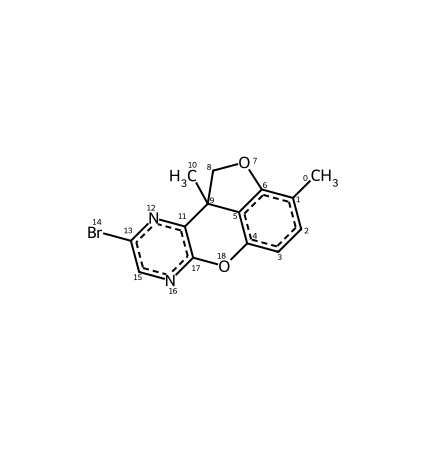 Cc1ccc2c3c1OCC3(C)c1nc(Br)cnc1O2